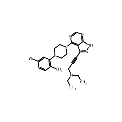 CCN(CC)CC#Cc1n[nH]c2ncnc(N3CCN(c4cc(Cl)ccc4C)CC3)c12